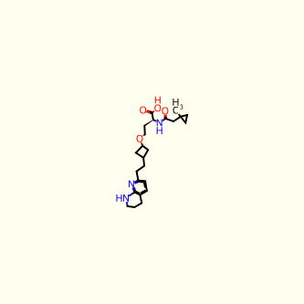 CC1(CC(=O)N[C@@H](CCOC2CC(CCc3ccc4c(n3)NCCC4)C2)C(=O)O)CC1